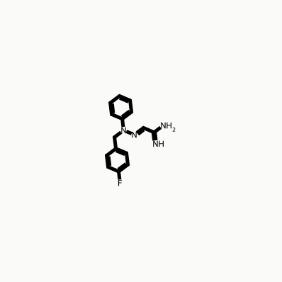 N=C(N)/C=N/N(Cc1ccc(F)cc1)c1ccccc1